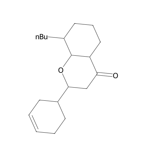 CCCCC1CCCC2C(=O)CC(C3CC=CCC3)OC12